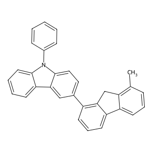 Cc1cccc2c1Cc1c(-c3ccc4c(c3)c3ccccc3n4-c3ccccc3)cccc1-2